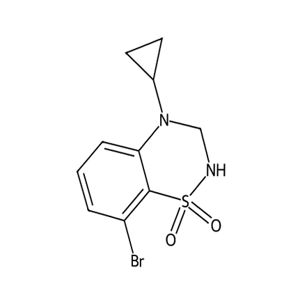 O=S1(=O)NCN(C2CC2)c2cccc(Br)c21